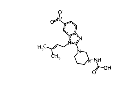 CC(C)=CCn1c(N2CCC[C@@H](NC(=O)O)C2)nc2ccc([N+](=O)[O-])cc21